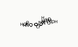 O=C(O)N[C@H]1CC[C@H](c2ccc(-c3nc4[nH]c(O[C@@H]5CO[C@H]6[C@@H]5OC[C@H]6O)nc4cc3Cl)cc2)CC1